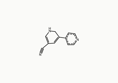 N#CC1=CNCC(c2ccncc2)=C1